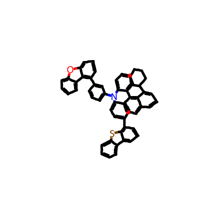 c1cc(-c2cccc3oc4ccccc4c23)cc(N(c2ccc(-c3cccc4c3sc3ccccc34)cc2)c2ccccc2-c2cccc3cccc(C4CCCCC4)c23)c1